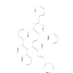 c1ccc(-c2nc(-c3ccccc3)nc(-c3cccc(-c4ccc5ccccc5c4-c4cccc5sc(-c6ccccc6)nc45)c3)n2)cc1